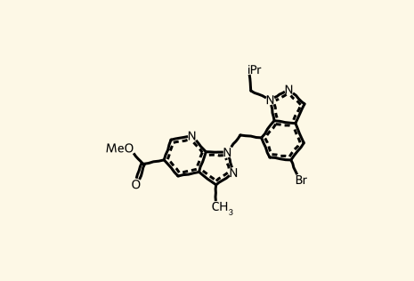 COC(=O)c1cnc2c(c1)c(C)nn2Cc1cc(Br)cc2cnn(CC(C)C)c12